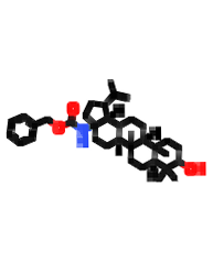 C=C(C)[C@@H]1CCC2(NC(=O)OCc3ccccc3)CC[C@]3(C)C(CC[C@@H]4C5(C)CCC(O)C(C)(C)[C@@H]5CCC43C)[C@@H]12